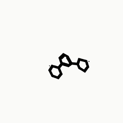 [CH]1CCCC(c2cccc(C3[CH]CCCC3)c2)C1